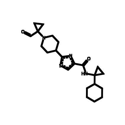 O=CC1(N2CCC(c3nc(C(=O)NC4(C5CCCCC5)CC4)cs3)CC2)CC1